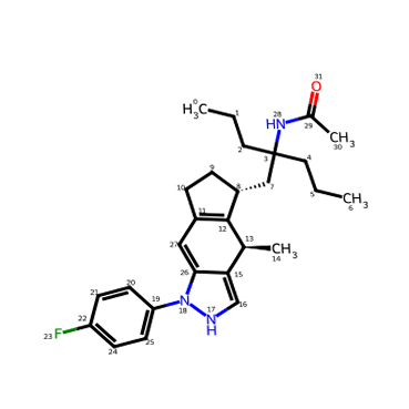 CCCC(CCC)(C[C@H]1CCC2=C1[C@@H](C)C1=CNN(c3ccc(F)cc3)C1=C2)NC(C)=O